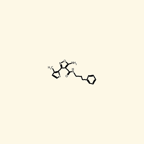 Cc1ccsc1-c1noc(N)c1C(=O)NCCCc1ccccc1